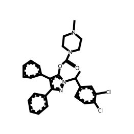 CC(c1ccc(Cl)c(Cl)c1)n1nc(-c2ccccc2)c(-c2ccccc2)c1OC(=O)N1CCN(C)CC1